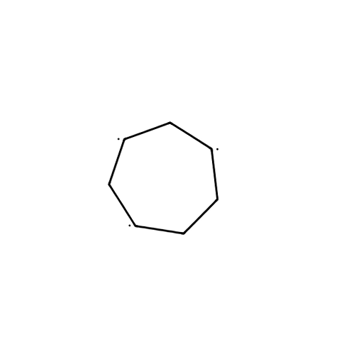 [CH]1C[CH]CC[CH]C1